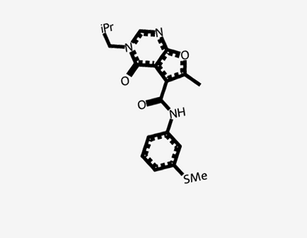 CSc1cccc(NC(=O)c2c(C)oc3ncn(CC(C)C)c(=O)c23)c1